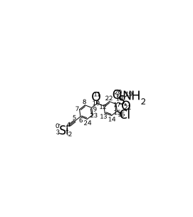 C[Si](C)(C)C#Cc1ccc(C(=O)c2ccc(Cl)c(S(N)(=O)=O)c2)cc1